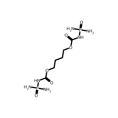 NP(N)(=O)NC(=O)OCCCCOC(=O)NP(N)(N)=O